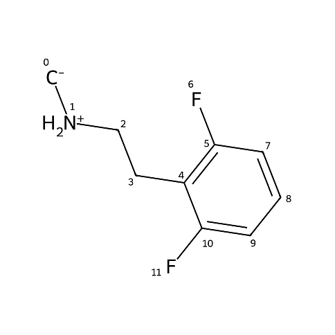 [CH2-][NH2+]CCc1c(F)cccc1F